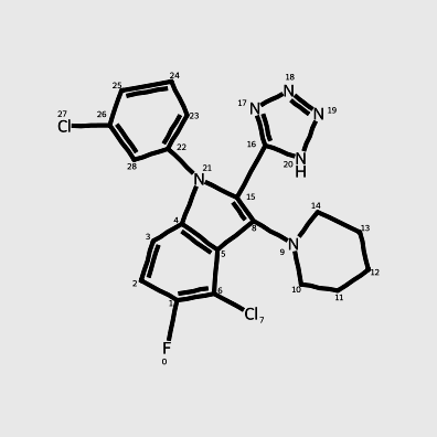 Fc1ccc2c(c1Cl)c(N1CCCCC1)c(-c1nnn[nH]1)n2-c1cccc(Cl)c1